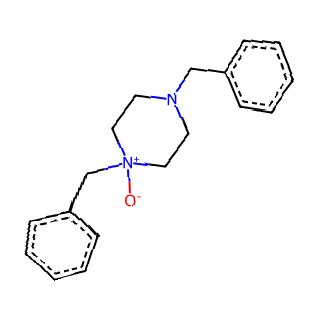 [O-][N+]1(Cc2ccccc2)CCN(Cc2ccccc2)CC1